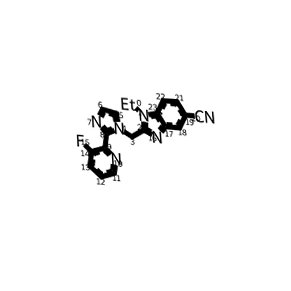 CCn1c(Cn2ccnc2-c2ncccc2F)nc2cc(C#N)ccc21